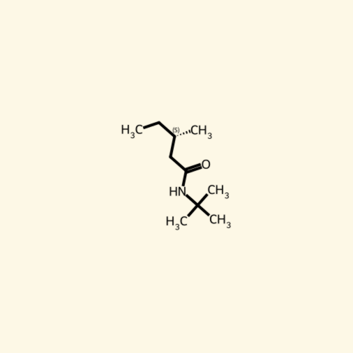 CC[C@H](C)CC(=O)NC(C)(C)C